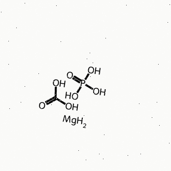 O=C(O)O.O=P(O)(O)O.[MgH2]